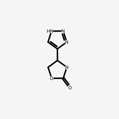 O=C1[N]C(c2c[nH]nn2)CO1